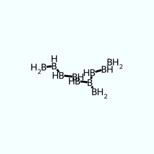 BBBBBB(B)BBB